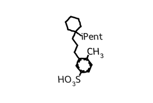 CCCC(C)C1(CCCc2cc(S(=O)(=O)O)ccc2C)CCCCC1